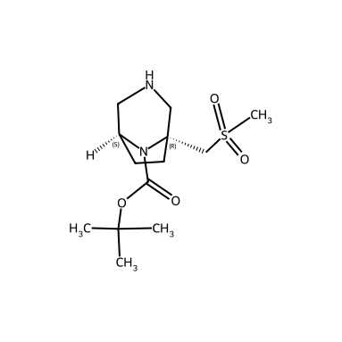 CC(C)(C)OC(=O)N1[C@H]2CC[C@]1(CS(C)(=O)=O)CNC2